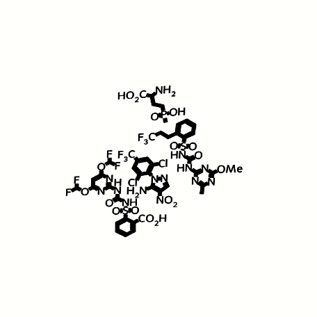 COc1nc(C)nc(NC(=O)NS(=O)(=O)c2ccccc2CCC(F)(F)F)n1.CP(=O)(O)CCC(N)C(=O)O.Nc1c([N+](=O)[O-])cnn1-c1c(Cl)cc(C(F)(F)F)cc1Cl.O=C(Nc1nc(OC(F)F)cc(OC(F)F)n1)NS(=O)(=O)c1ccccc1C(=O)O